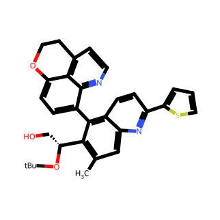 Cc1cc2nc(-c3cccs3)ccc2c(-c2ccc3c4c(ccnc24)CCO3)c1[C@@H](CO)OC(C)(C)C